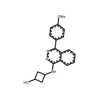 COc1ccc(-c2nnc(NC3CC(O)C3)c3ccccc23)cc1